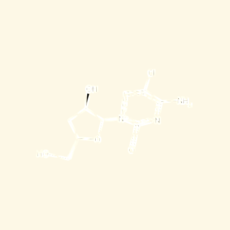 Nc1nc(=O)n([C@@H]2O[C@H](CO)C[C@H]2O)cc1Cl